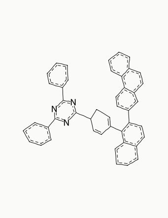 C1=CC(c2nc(-c3ccccc3)nc(-c3ccccc3)n2)CC=C1c1c(-c2ccc3c(ccc4ccccc43)c2)ccc2ccccc12